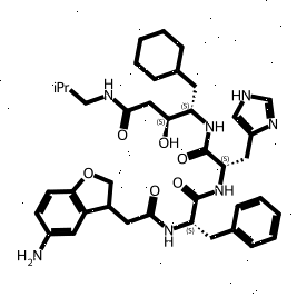 CC(C)CNC(=O)C[C@H](O)[C@H](CC1CCCCC1)NC(=O)[C@H](Cc1c[nH]cn1)NC(=O)[C@H](Cc1ccccc1)NC(=O)CC1COc2ccc(N)cc21